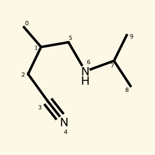 CC(CC#N)CNC(C)C